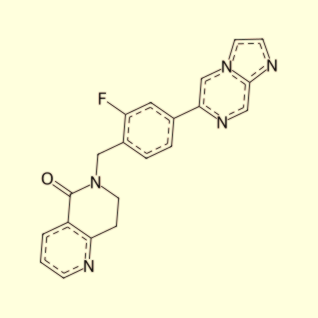 O=C1c2cccnc2CCN1Cc1ccc(-c2cn3ccnc3cn2)cc1F